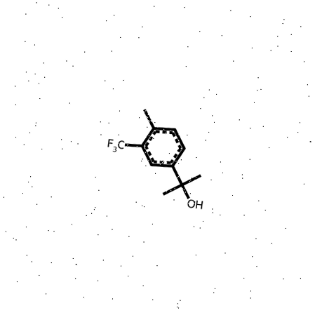 Cc1ccc(C(C)(C)O)cc1C(F)(F)F